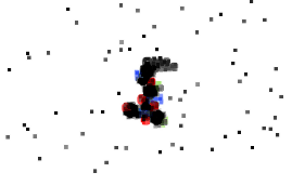 COc1cc2nccc(Oc3ccc(NC(=O)c4cn(CC5CCOCC5)c(=O)n(-c5ccc(F)cc5)c4=O)cc3F)c2cc1OC